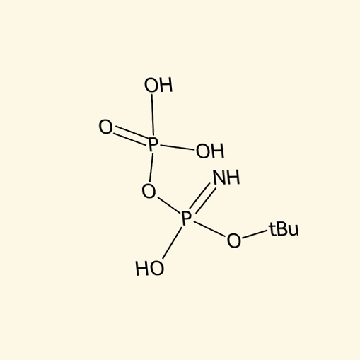 CC(C)(C)OP(=N)(O)OP(=O)(O)O